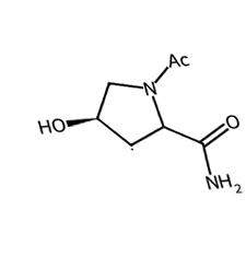 CC(=O)N1C[C@H](O)[CH]C1C(N)=O